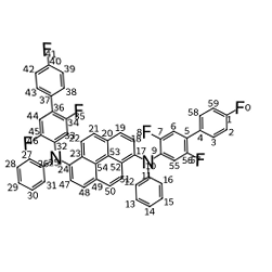 Fc1ccc(-c2cc(F)c(N(c3ccccc3)c3ccc4ccc5c(N(c6ccccc6)c6cc(F)c(-c7ccc(F)cc7)cc6F)ccc6ccc3c4c65)cc2F)cc1